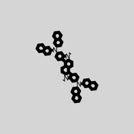 Cn1c2cc(N(c3ccc4ccccc4c3)c3ccc4ccccc4c3)ccc2c2c3ccc4c(c3ccc21)c1ccc(N(c2ccc3ccccc3c2)c2ccc3ccccc3c2)cc1n4C